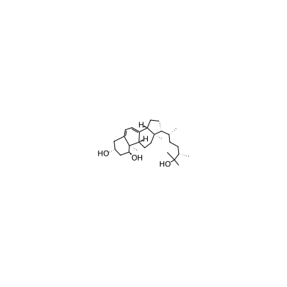 C[C@H](CC[C@H](C)C(C)(C)O)[C@H]1CC[C@H]2C3=CC=C4C[C@@H](O)C[C@H](O)[C@]4(C)[C@H]3CC[C@]12C